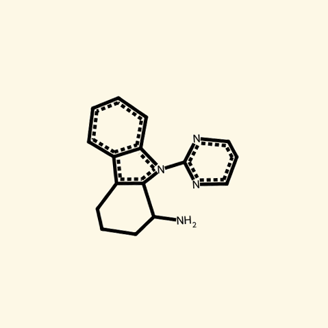 NC1CCCc2c1n(-c1ncccn1)c1ccccc21